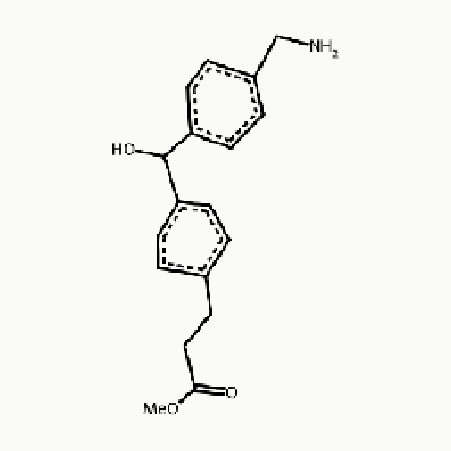 COC(=O)CCc1ccc(C(O)c2ccc(CN)cc2)cc1